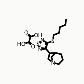 CCCCCSc1nsnc1C1CN2CCCC1C2.O=C(O)C(=O)O